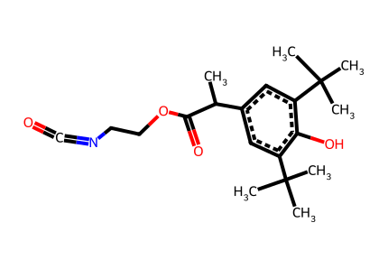 CC(C(=O)OCCN=C=O)c1cc(C(C)(C)C)c(O)c(C(C)(C)C)c1